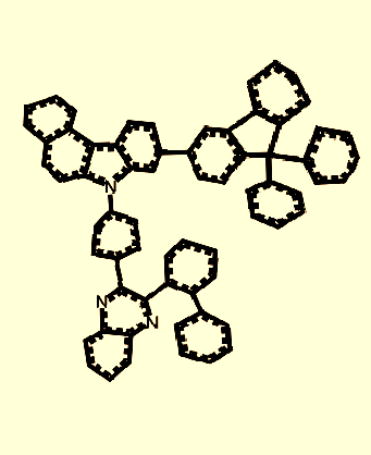 c1ccc(-c2ccccc2-c2nc3ccccc3nc2-c2ccc(-n3c4cc(-c5ccc6c(c5)-c5ccccc5C6(c5ccccc5)c5ccccc5)ccc4c4c5ccccc5ccc43)cc2)cc1